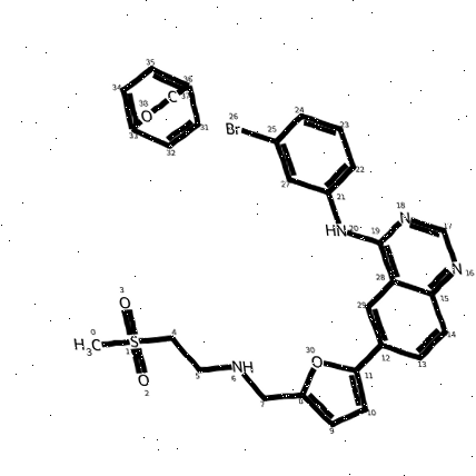 CS(=O)(=O)CCNCc1ccc(-c2ccc3ncnc(Nc4cccc(Br)c4)c3c2)o1.c1cc2ccc1CO2